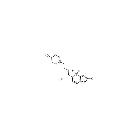 Cl.O=S1(=O)c2sc(Cl)cc2C=CN1CCCCN1CCC(O)CC1